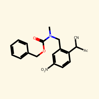 CC(=O)C(C#N)c1ccc([N+](=O)[O-])cc1CN(C)C(=O)OCc1ccccc1